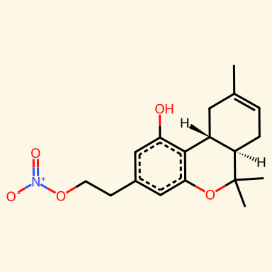 CC1=CC[C@@H]2[C@@H](C1)c1c(O)cc(CCO[N+](=O)[O-])cc1OC2(C)C